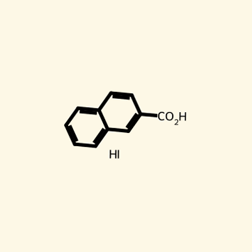 I.O=C(O)c1ccc2ccccc2c1